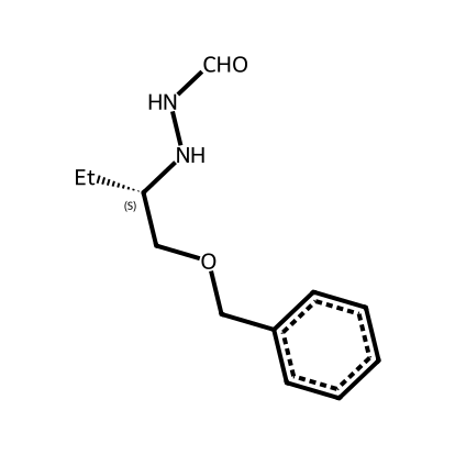 CC[C@@H](COCc1ccccc1)NNC=O